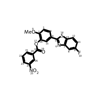 COc1ccc(-c2nc3cc(F)ccc3s2)cc1OC(=O)c1cccc([N+](=O)[O-])c1